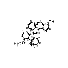 COc1cccc(C(Nc2ncnc3c2ncn3O)(c2ccccc2)c2ccccc2)c1OC